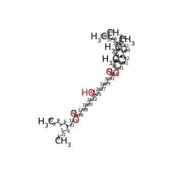 CCCCCC(CCCCC)CCOC(=O)CCCCCCCC(O)CCCCCCCC(=O)O[C@H]1CC[C@@]2(C)C(=CCC3C2CC[C@@]2(C)C3CC[C@@H]2[C@H](C)CCCC(C)C)C1